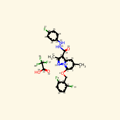 Cc1cc(OCc2c(F)cccc2F)n2nc(C)c(C(=O)NNc3ccc(F)cc3)c2c1.O=C(O)C(F)(F)F